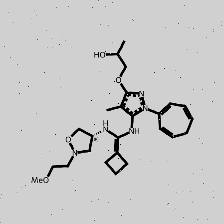 COCCN1C[C@@H](NC(Nc2c(C)c(OCC(C)O)nn2C2=CC=CCC=C2)=C2CCC2)CO1